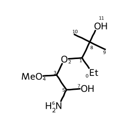 CCC(OC(OC)C(N)O)C(C)(C)O